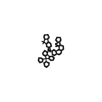 CC1(C)c2ccccc2-c2ccc(N(c3ccc4ccc5ccc6c7ccccc7sc6c5c4c3)c3cccc4c3-c3ccccc3C4(c3ccccc3)c3ccccc3)cc21